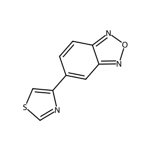 c1nc(-c2ccc3nonc3c2)cs1